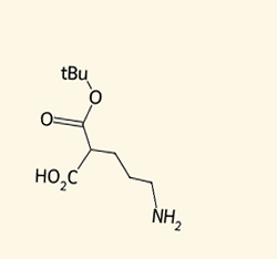 CC(C)(C)OC(=O)C(CCCN)C(=O)O